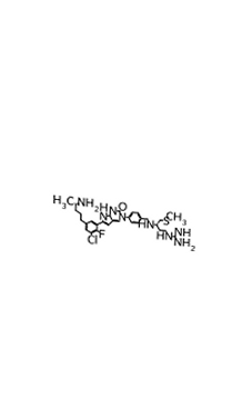 CSC[C@@H](CCNC(=N)N)NCc1ccc(-n2cc3cc(-c4cc(CCC[C@H](C)N)cc(Cl)c4F)[nH]c3nc2=O)cc1